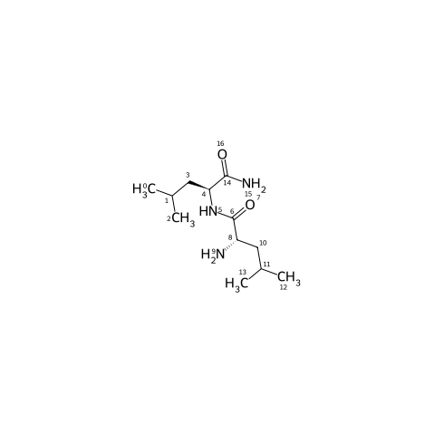 CC(C)C[C@H](NC(=O)[C@@H](N)CC(C)C)C(N)=O